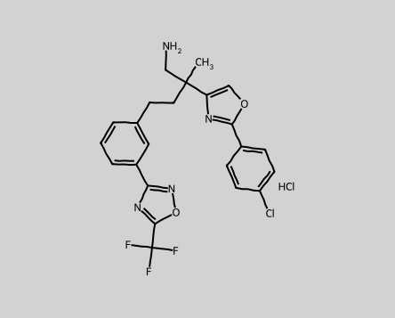 CC(CN)(CCc1cccc(-c2noc(C(F)(F)F)n2)c1)c1coc(-c2ccc(Cl)cc2)n1.Cl